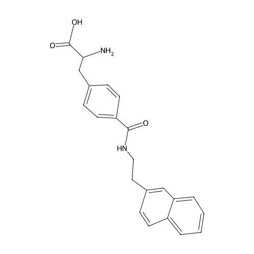 NC(Cc1ccc(C(=O)NCCc2ccc3ccccc3c2)cc1)C(=O)O